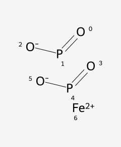 O=P[O-].O=P[O-].[Fe+2]